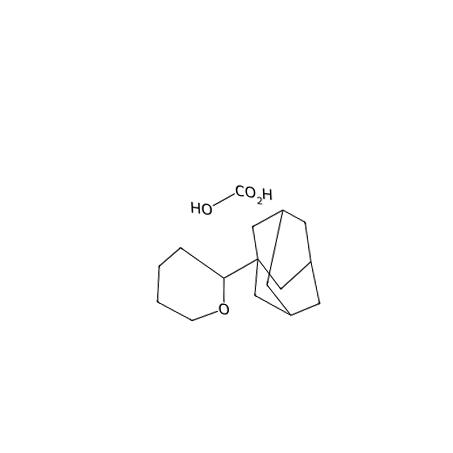 C1CCC(C23CC4CC(CC(C4)C2)C3)OC1.O=C(O)O